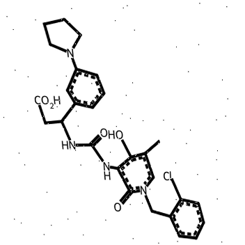 Cc1cn(Cc2ccccc2Cl)c(=O)c(NC(=O)NC(CC(=O)O)c2cccc(N3CCCC3)c2)c1O